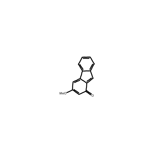 COC1=CC(=O)C2=Cc3ccccc3C2=C1